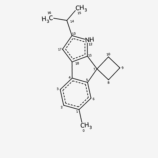 Cc1ccc2c(c1)C1(CCC1)c1[nH]c(C(C)C)cc1-2